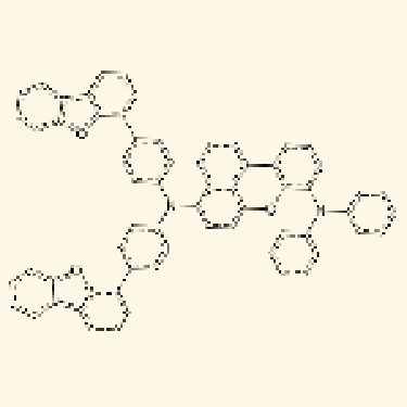 c1ccc(N(c2ccccc2)c2cccc3c2Oc2ccc(N(c4ccc(-c5cccc6c5oc5ccccc56)cc4)c4ccc(-c5cccc6c5oc5ccccc56)cc4)c4cccc-3c24)cc1